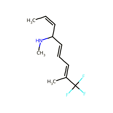 C/C=C\C(C=C/C=C(\C)C(F)(F)F)NC